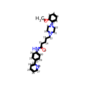 COc1ccccc1N1CCN(CCCCC(=O)Nc2ccc(-c3ccccn3)cc2)CC1